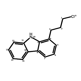 ClCCCc1cccc2c1[nH]c1ccccc12